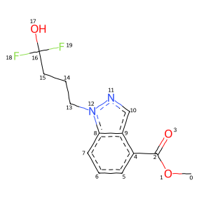 COC(=O)c1cccc2c1cnn2CCCC(O)(F)F